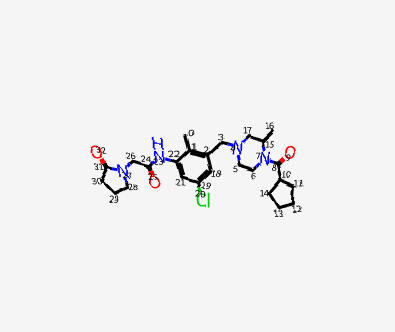 Cc1c(CN2CCN(C(=O)C3CCCC3)C(C)C2)cc(Cl)cc1NC(=O)CN1CCCC1=O